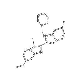 C=Cc1ccn2c(C)c(-c3cc4ccc(F)cc4n3Cc3ccccc3)nc2c1